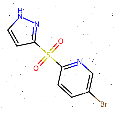 O=S(=O)(c1ccc(Br)cn1)c1cc[nH]n1